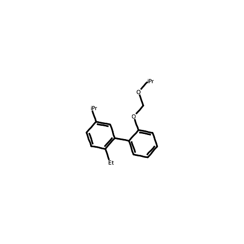 CCc1ccc(C(C)C)cc1-c1ccccc1OCOC(C)C